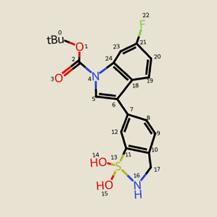 CC(C)(C)OC(=O)n1cc(-c2ccc3c(c2)S(O)(O)NC3)c2ccc(F)cc21